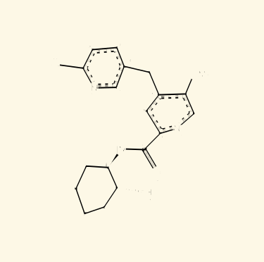 COc1cnc(C(=O)N[C@@H]2CCCC[C@H]2O)cc1Cc1ccc(Cl)nc1